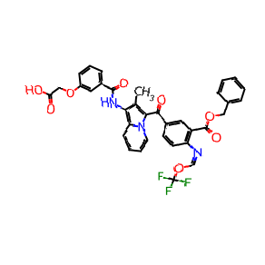 Cc1c(NC(=O)c2cccc(OCC(=O)O)c2)c2ccccn2c1C(=O)c1ccc(/N=C\OC(F)(F)F)c(C(=O)OCc2ccccc2)c1